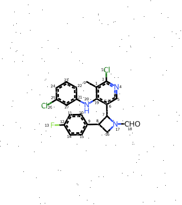 Cc1c(Cl)ncc(C2C(c3ccc(F)cc3)CN2C=O)c1Nc1cccc(Cl)c1